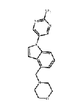 FC(F)(F)c1ncc(-n2ccc3c(CN4CCOCC4)cccc32)cn1